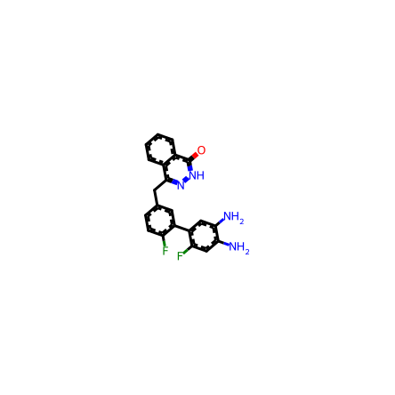 Nc1cc(F)c(-c2cc(Cc3n[nH]c(=O)c4ccccc34)ccc2F)cc1N